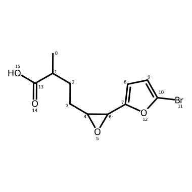 CC(CCC1OC1c1ccc(Br)o1)C(=O)O